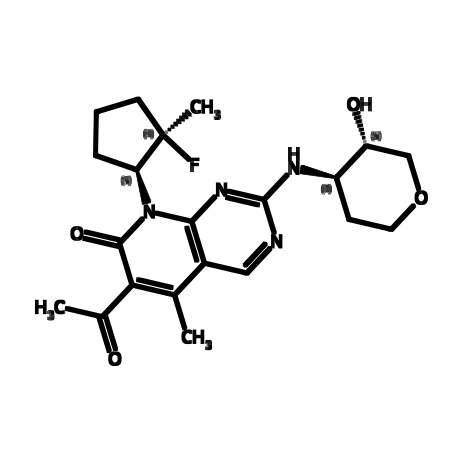 CC(=O)c1c(C)c2cnc(N[C@@H]3CCOC[C@H]3O)nc2n([C@H]2CCC[C@@]2(C)F)c1=O